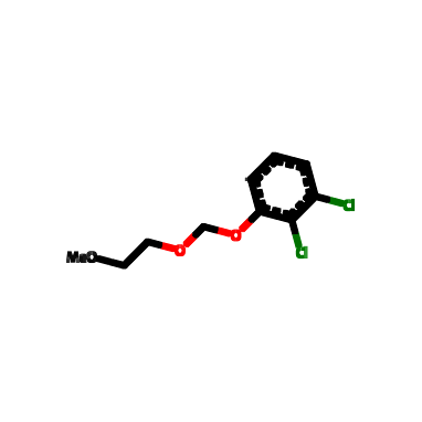 COCCOCOc1[c]ccc(Cl)c1Cl